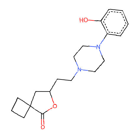 O=C1OC(CCN2CCN(c3ccccc3O)CC2)CC12CCC2